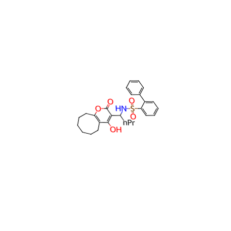 CCCC(NS(=O)(=O)c1ccccc1-c1ccccc1)c1c(O)c2c(oc1=O)CCCCCC2